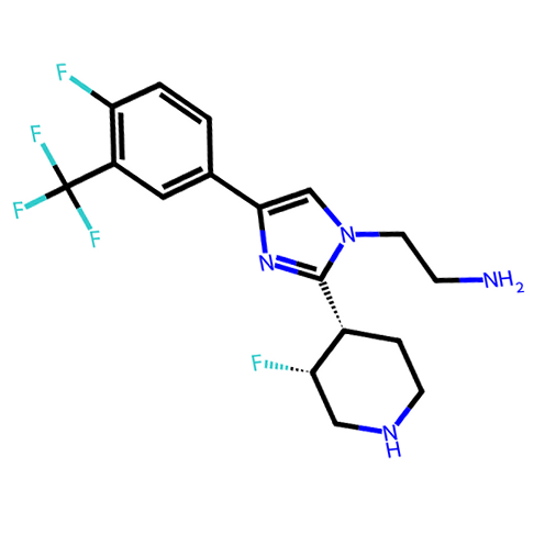 NCCn1cc(-c2ccc(F)c(C(F)(F)F)c2)nc1[C@@H]1CCNC[C@@H]1F